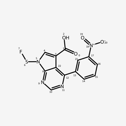 O=C(O)c1cn(SF)c2ncnc(-c3cccc([N+](=O)[O-])c3)c12